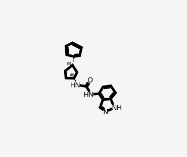 O=C(Nc1cccc2[nH]ncc12)N[C@@H]1CC[C@H](c2ccccc2)C1